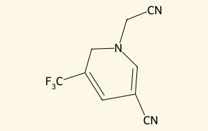 N#CCN1C=C(C#N)C=C(C(F)(F)F)C1